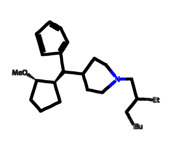 CCC(C)CC(CC)CN1CCC(C(c2ccccc2)[C@H]2CCC[C@@H]2OC)CC1